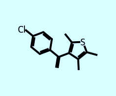 C=C(c1ccc(Cl)cc1)c1c(C)sc(C)c1C